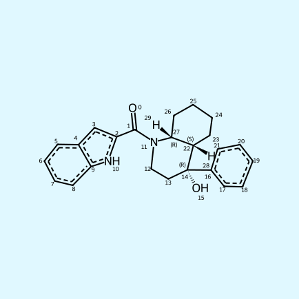 O=C(c1cc2ccccc2[nH]1)N1CC[C@](O)(c2ccccc2)[C@H]2CCCC[C@H]21